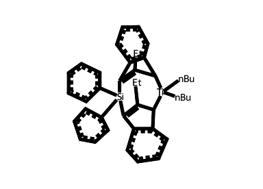 CCC[CH2][Ti]1([CH2]CCC)[CH]2C(CC)=C(c3ccccc32)[Si](c2ccccc2)(c2ccccc2)C2=C(CC)[CH]1c1ccccc12